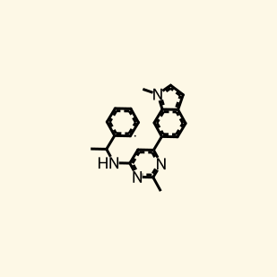 Cc1nc(NC(C)c2[c]cccc2)cc(-c2ccc3ccn(C)c3c2)n1